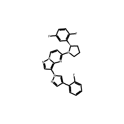 Fc1ccc(F)c([C@H]2CCCN2c2ccn3ncc(-n4cc(-c5ccccc5F)cn4)c3n2)c1